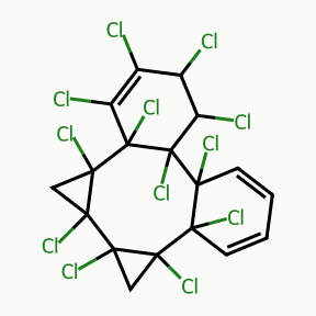 ClC1=C(Cl)C2(Cl)C3(Cl)CC3(Cl)C3(Cl)CC3(Cl)C3(Cl)C=CC=CC3(Cl)C2(Cl)C(Cl)C1Cl